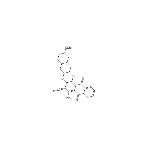 COC1CCC2CC(OC3C(=C=O)C(N)=C4C(=O)c5ccccc5C(=O)C4=C3N)CCC2C1